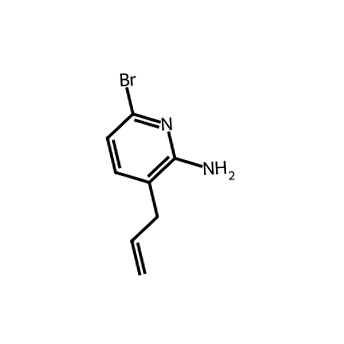 C=CCc1ccc(Br)nc1N